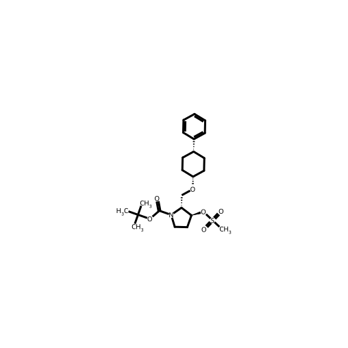 CC(C)(C)OC(=O)N1CC[C@H](OS(C)(=O)=O)[C@H]1CO[C@H]1CC[C@@H](c2ccccc2)CC1